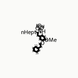 CCCCCCCC(Cc1ccc(OC)c(OCCc2ccccc2)c1)NC(=O)OC(C)(C)C